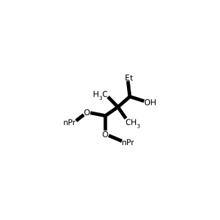 CCCOC(OCCC)C(C)(C)C(O)CC